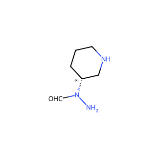 NN(C=O)[C@@H]1CCCNC1